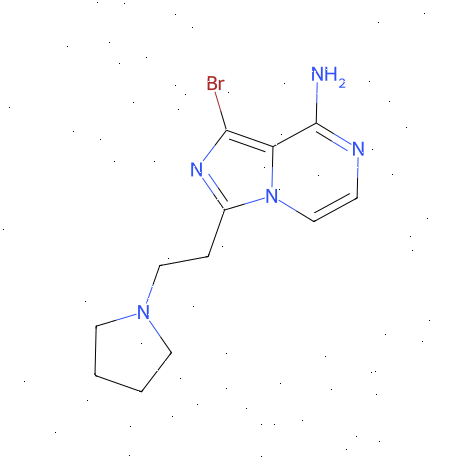 Nc1nccn2c(CCN3CCCC3)nc(Br)c12